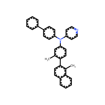 Cc1cc(N(c2ccncc2)c2ccc(-c3ccccc3)cc2)ccc1-c1ccc2ccccc2c1C